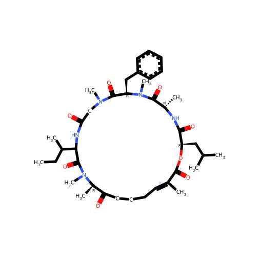 CCC(C)C1NC(=O)CN(C)C(=O)[C@@H](Cc2ccccc2)N(C)C(=O)[C@H](C)NC(=O)[C@@H](CC(C)C)OC(=O)/C(C)=C/CCCC(=O)[C@@H](C)N(C)C1=O